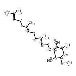 CC(C)=CCC/C(C)=C/CC/C(C)=C/CO[C@@H]1C(O)C(O)OC(CO)C1O